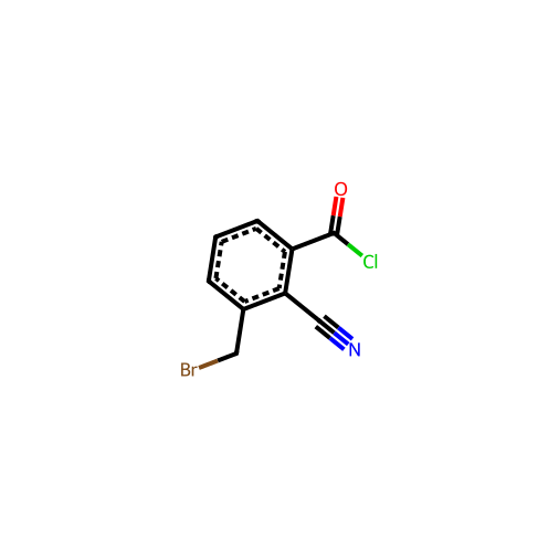 N#Cc1c(CBr)cccc1C(=O)Cl